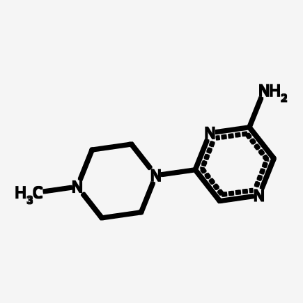 CN1CCN(c2cncc(N)n2)CC1